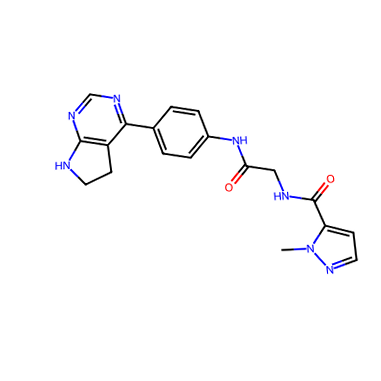 Cn1nccc1C(=O)NCC(=O)Nc1ccc(-c2ncnc3c2CCN3)cc1